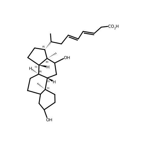 CC(CC=CC=CCC(=O)O)[C@H]1CC[C@H]2[C@@H]3CCC4CC(O)CC[C@]4(C)[C@H]3CC(O)[C@]12C